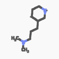 CN(C)CCCC1[CH]CC[N]C1